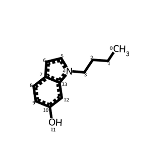 CCCCn1ccc2ccc(O)cc21